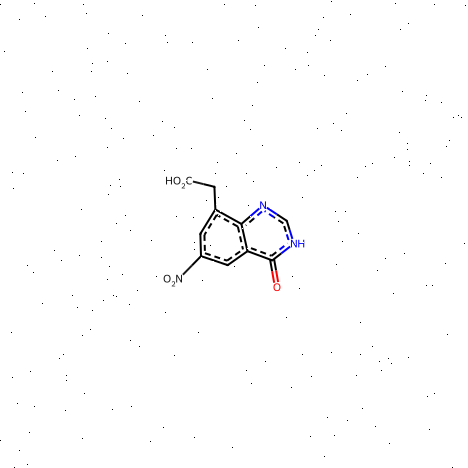 O=C(O)Cc1cc([N+](=O)[O-])cc2c(=O)[nH]cnc12